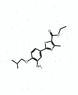 CCOC(=O)c1sc(-c2ccc(OCC(C)C)c(N)c2)nc1C